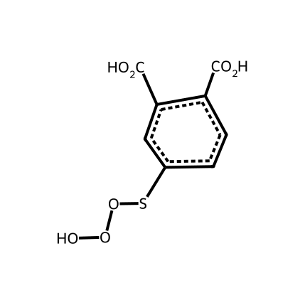 O=C(O)c1ccc(SOOO)cc1C(=O)O